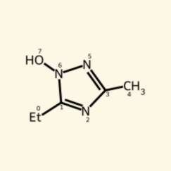 CCc1nc(C)nn1O